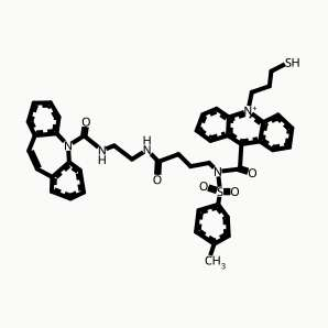 Cc1ccc(S(=O)(=O)N(CCCC(=O)NCCNC(=O)N2c3ccccc3C=Cc3ccccc32)C(=O)c2c3ccccc3[n+](CCCS)c3ccccc23)cc1